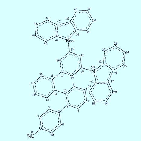 N#Cc1ccc(-c2ccccc2-c2ccccc2-c2cc(-n3c4ccccc4c4ccccc43)cc(-n3c4ccccc4c4ccccc43)c2)cc1